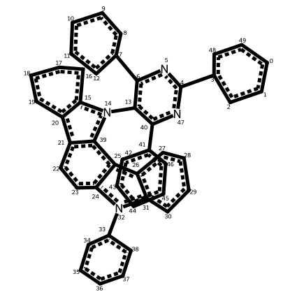 c1ccc(-c2nc(-c3ccccc3)c(-n3c4ccccc4c4ccc5c(c6ccccc6n5-c5ccccc5)c43)c(-c3ccccc3)n2)cc1